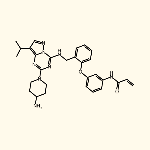 C=CC(=O)Nc1cccc(Oc2ccccc2CNc2nc(N3CCC(N)CC3)nc3c(C(C)C)cnn23)c1